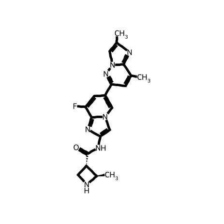 Cc1cn2nc(-c3cc(F)c4nc(NC(=O)[C@H]5CN[C@@H]5C)cn4c3)cc(C)c2n1